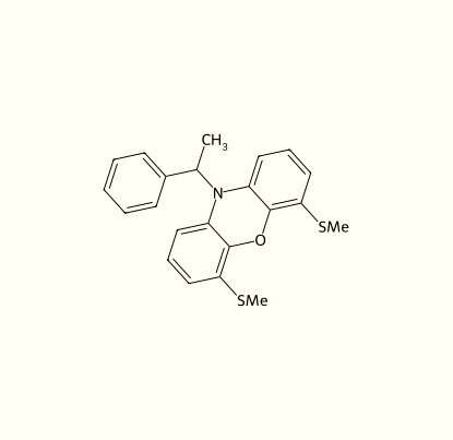 CSc1cccc2c1Oc1c(SC)cccc1N2C(C)c1ccccc1